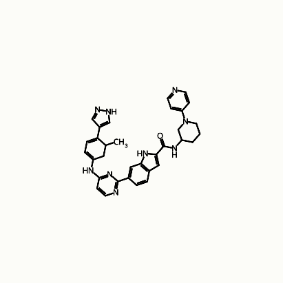 CC1CC(Nc2ccnc(-c3ccc4cc(C(=O)NC5CCCN(c6ccncc6)C5)[nH]c4c3)n2)=CC=C1c1cn[nH]c1